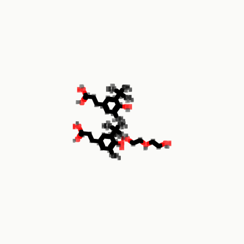 Cc1cc(CCC(=O)O)cc(C(C)(C)C)c1O.Cc1cc(CCC(=O)O)cc(C(C)(C)C)c1O.OCCOCCO